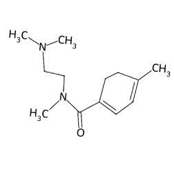 CC1=CC=C(C(=O)N(C)CCN(C)C)CC1